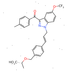 Cc1ccc(C(=O)c2nn(CC=Cc3ccc(CO[C@H](C)C(=O)O)cc3)c3ccc(OC(F)(F)F)cc23)cc1